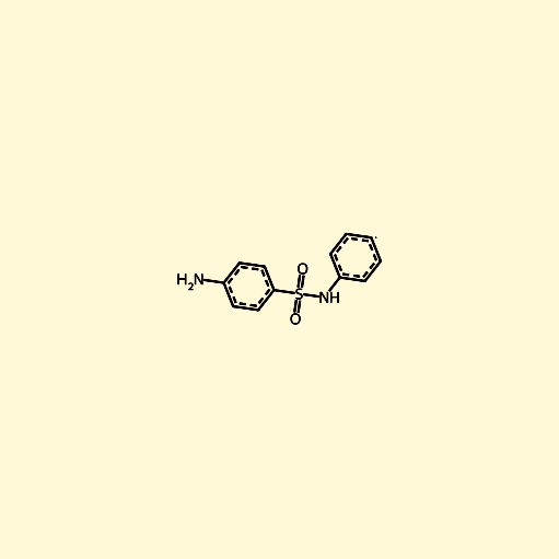 Nc1ccc(S(=O)(=O)Nc2cc[c]cc2)cc1